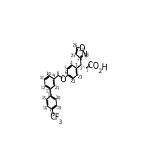 O=C(O)C[C@H](c1ccc(OCc2cccc(-c3ccc(C(F)(F)F)cc3)c2)cc1)c1ccon1